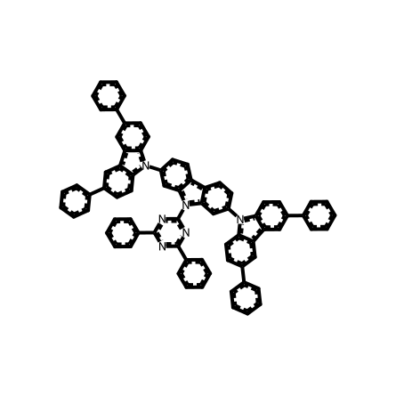 c1ccc(-c2ccc3c(c2)c2cc(-c4ccccc4)ccc2n3-c2ccc3c4ccc(-n5c6ccc(-c7ccccc7)cc6c6cc(-c7ccccc7)ccc65)cc4n(-c4nc(-c5ccccc5)nc(-c5ccccc5)n4)c3c2)cc1